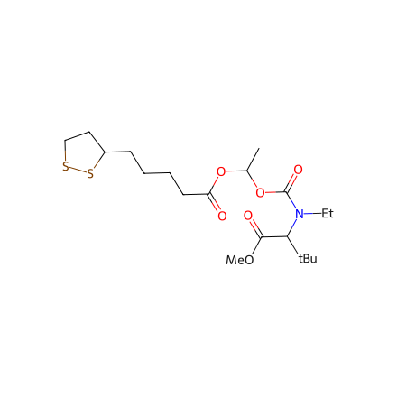 CCN(C(=O)OC(C)OC(=O)CCCCC1CCSS1)C(C(=O)OC)C(C)(C)C